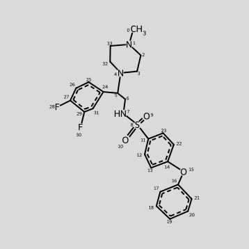 CN1CCN(C(CNS(=O)(=O)c2ccc(Oc3ccccc3)cc2)c2ccc(F)c(F)c2)CC1